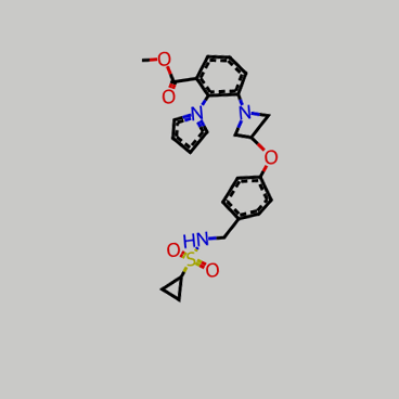 COC(=O)c1cccc(N2CC(Oc3ccc(CNS(=O)(=O)C4CC4)cc3)C2)c1-n1cccc1